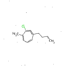 C=CCCC1=C=C(Cl)C(C)=CC=C1